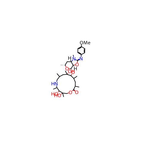 COc1ccc(/N=C2/O[C@H]3[C@H](OC4C(C)CC(C)C(=O)OCC(C)(O)C(O)C(C)NCC(C)CC4(C)O)O[C@H](C)C[C@@H]3N2C)cc1